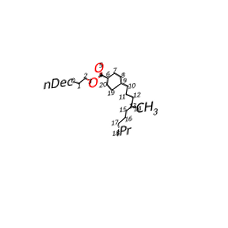 CCCCCCCCCCCCOC(=O)C1CCC(CCCC(C)CCCC(C)C)CC1